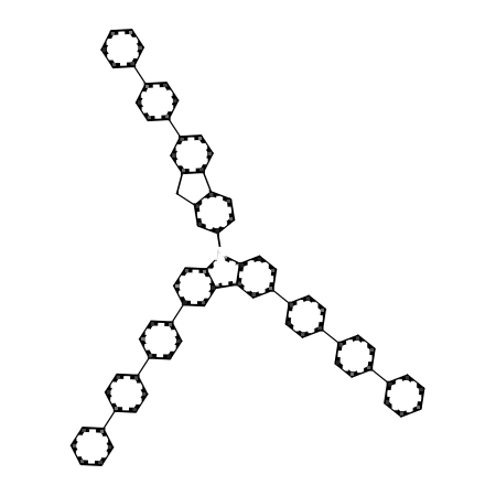 c1ccc(-c2ccc(-c3ccc(-c4ccc5c(c4)c4cc(-c6ccc(-c7ccc(-c8ccccc8)cc7)cc6)ccc4n5-c4ccc5c(c4)Cc4cc(-c6ccc(-c7ccccc7)cc6)ccc4-5)cc3)cc2)cc1